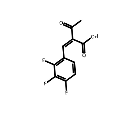 CC(=O)C(=Cc1ccc(F)c(F)c1F)C(=O)O